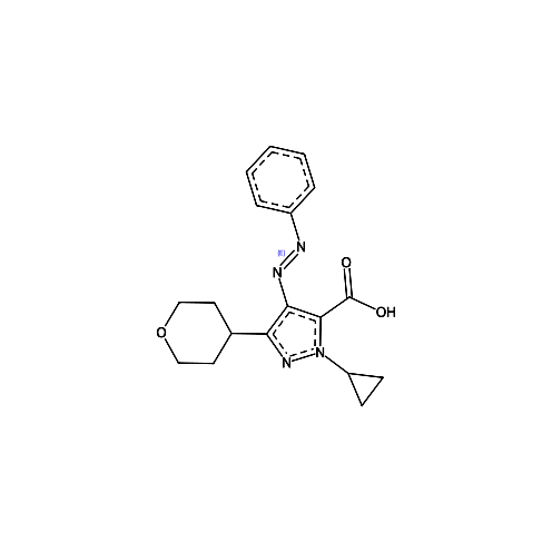 O=C(O)c1c(/N=N/c2ccccc2)c(C2CCOCC2)nn1C1CC1